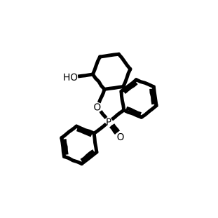 O=P(OC1CCCCC1O)(c1ccccc1)c1ccccc1